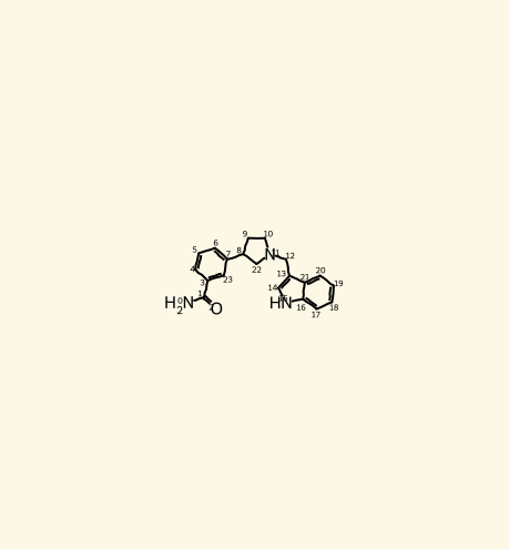 NC(=O)c1cccc(C2CCN(Cc3c[nH]c4ccccc34)C2)c1